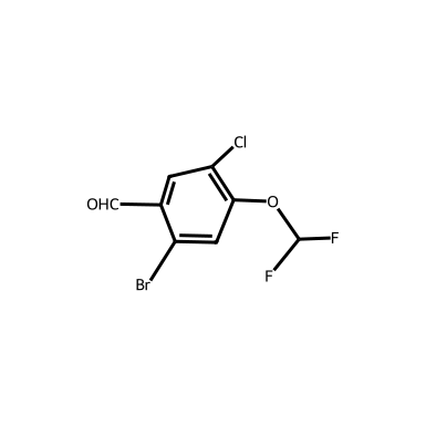 O=Cc1cc(Cl)c(OC(F)F)cc1Br